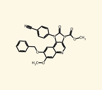 COC(=O)n1c(=O)n(-c2ccc(C#N)cc2)c2c3cc(OCc4ccccc4)c(OC)cc3ncc21